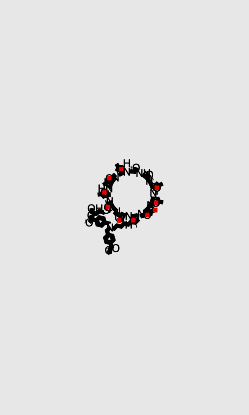 CC[C@@H]1NC(=O)[C@H](C[C@H](C)CCCCCCN(Cc2ccc(C(=O)OC)cc2)Cc2ccc(C(=O)OC)cc2)N(C)C(=O)[C@H](C(C)C)N(C)C(=O)[C@H](CC(C)C)N(C)C(=O)[C@@H](CC(C)C)N(C)C(=O)[C@H](C)NC(=O)[C@@H](C)NC(=O)[C@@H](CC(C)C)N(C)C(=O)[C@@H](C(C)C)NC(=O)[C@H](CC(C)C)N(C)C(=O)[C@@H](CSCCCCO)N(C)C1=O